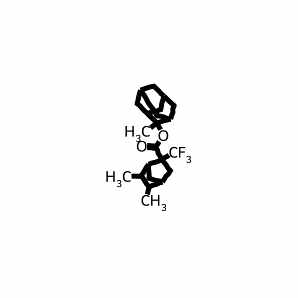 CC1C2CC(C1C)C(C(=O)OC1(C)C3CC4CC(C3)CC1C4)(C(F)(F)F)C2